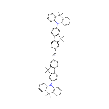 CC1(C)C2=C(C=CCC2)N(c2ccc3c(c2)C(C)(C)c2cc(/C=C/c4ccc5c(c4)C(C)(C)c4cc(N6C7=C(CCC=C7)C(C)(C)C7C=CC=CC76)ccc4-5)ccc2-3)c2ccccc21